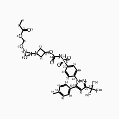 CCC(=O)OCOn1on1N1CC(OC(=O)NS(=O)(=O)c2ccc(-n3nc(C(F)(F)F)cc3-c3ccc(C)cc3)cc2)C1